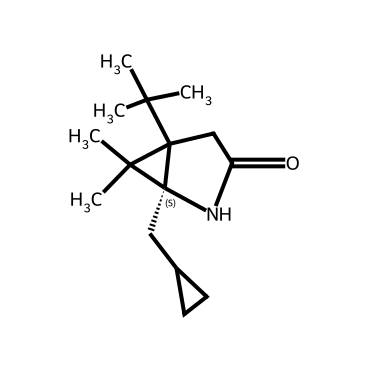 CC(C)(C)C12CC(=O)N[C@@]1(CC1CC1)C2(C)C